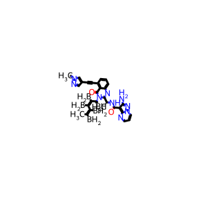 B=C(/C(B)=C(B)\C(B)=C(\B)C)n1c([C@@H](C)NC(=O)c2c(N)nn3cccnc23)nc2cccc(C#Cc3cnn(C)c3)c2c1=O